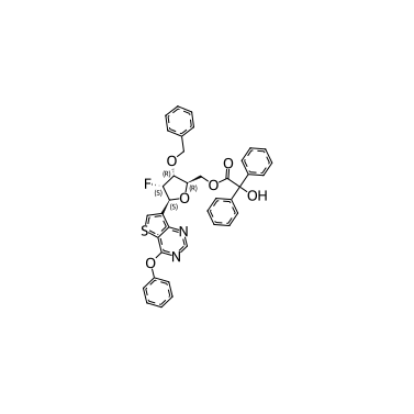 O=C(OC[C@H]1O[C@@H](c2csc3c(Oc4ccccc4)ncnc23)[C@H](F)[C@@H]1OCc1ccccc1)C(O)(c1ccccc1)c1ccccc1